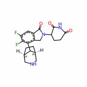 O=C1CCC(N2Cc3c(cc(F)c(F)c3C3[C@@H]4CC[C@H]3CNC4)C2=O)C(=O)N1